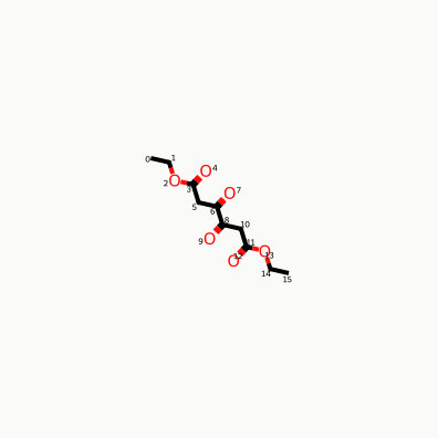 CCOC(=O)CC(=O)C(=O)CC(=O)OCC